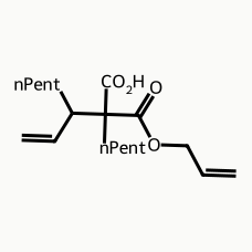 C=CCOC(=O)C(CCCCC)(C(=O)O)C(C=C)CCCCC